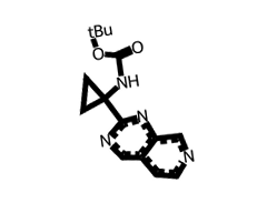 CC(C)(C)OC(=O)NC1(c2ncc3ccncc3n2)CC1